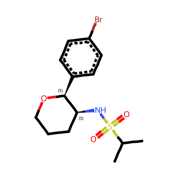 CC(C)S(=O)(=O)N[C@H]1CCCO[C@H]1c1ccc(Br)cc1